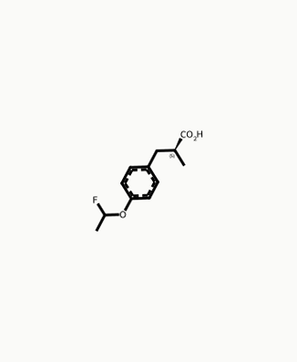 CC(F)Oc1ccc(C[C@H](C)C(=O)O)cc1